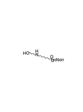 CCCCCCCCCOC(=O)CCCCCCCNCCCCO